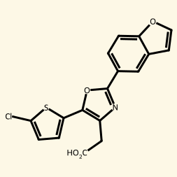 O=C(O)Cc1nc(-c2ccc3occc3c2)oc1-c1ccc(Cl)s1